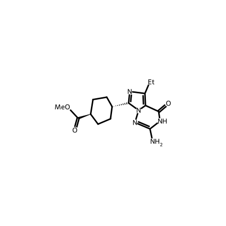 CCc1nc([C@H]2CC[C@H](C(=O)OC)CC2)n2nc(N)[nH]c(=O)c12